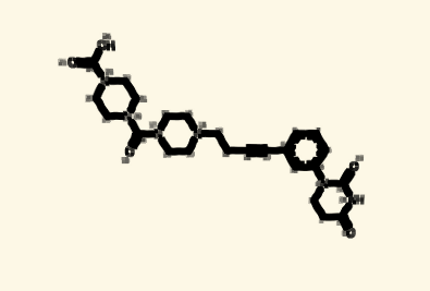 O=C1CCN(c2cccc(C#CCCN3CCN(C(=O)N4CCN(C(=O)O)CC4)CC3)c2)C(=O)N1